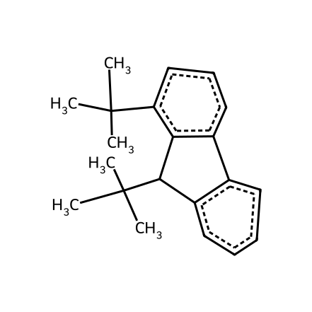 CC(C)(C)c1cccc2c1C(C(C)(C)C)c1ccccc1-2